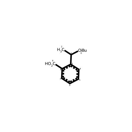 CC(C)COC(C)c1ccccc1C(=O)O